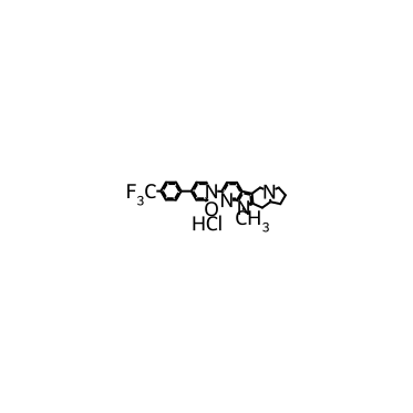 Cl.Cn1c2c(c3ccc(-n4ccc(-c5ccc(C(F)(F)F)cc5)cc4=O)nc31)CN1CCCC1C2